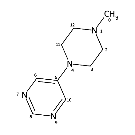 CN1CCN(c2cncnc2)CC1